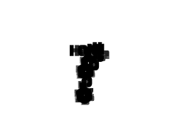 CNC(=O)C(Cc1ccc(OCc2ccccc2)cc1)C(N)O